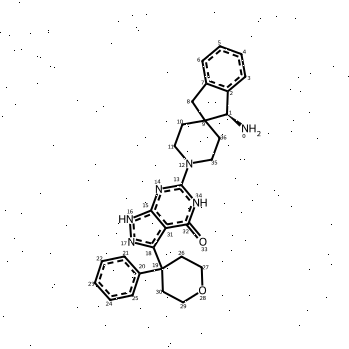 N[C@@H]1c2ccccc2CC12CCN(c1nc3[nH]nc(C4(c5ccccc5)CCOCC4)c3c(=O)[nH]1)CC2